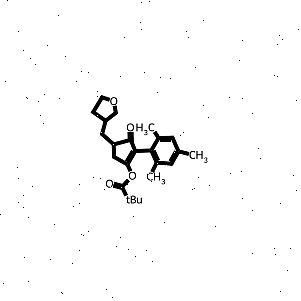 Cc1cc(C)c(C2=C(OC(=O)C(C)(C)C)CC(CC3CCOC3)C2=O)c(C)c1